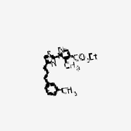 CCOC(=O)c1cnn(-c2nc(C=CCc3cccc(C)c3)cs2)c1C